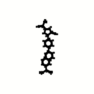 N=C(N)c1ccc2cc(-c3ccc(N4CC(C(=O)O)=NC4=O)cc3)ccc2c1